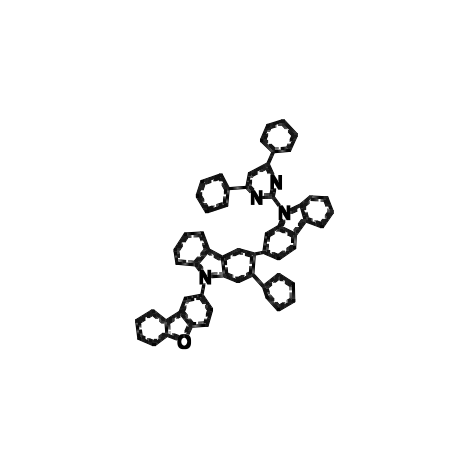 c1ccc(-c2cc(-c3ccccc3)nc(-n3c4ccccc4c4ccc(-c5cc6c7ccccc7n(-c7ccc8oc9ccccc9c8c7)c6cc5-c5ccccc5)cc43)n2)cc1